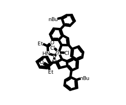 CCCCc1ccccc1-c1cccc2c1C=C(c1ccccc1)[CH]2[Zr]([Cl])([Cl])([B](NC(=O)CC)NC(=O)CC)[CH]1C(c2ccccc2)=Cc2c(-c3ccccc3CCCC)cccc21